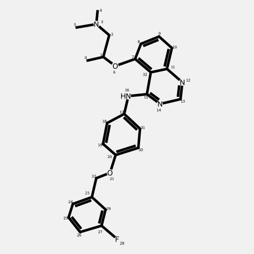 CC(CN(C)C)Oc1cccc2ncnc(Nc3ccc(OCc4cccc(F)c4)cc3)c12